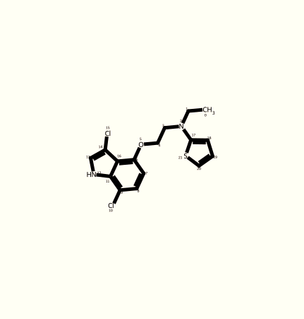 CCN(CCOc1ccc(Cl)c2[nH]cc(Cl)c12)c1cccs1